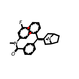 CN(C(=O)c1cccc(C(=C2CC3CCC(C2)N3C)c2ccccc2)c1)c1cccc(F)c1